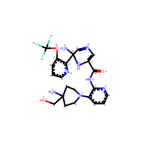 NC1(CO)CCN(c2cccnc2NC(=O)C2=CN=CC(N)(c3ncccc3OC(F)(F)F)N2)CC1